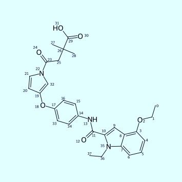 CCOc1cccc2c1cc(C(=O)Nc1ccc(Oc3ccn(C(=O)CC(C)(C)C(=O)O)c3)cc1)n2CC